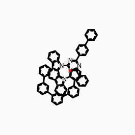 c1ccc(-c2ccc(-c3nc(-c4ccccc4)nc(-n4c5ccccc5c5ccc6c7ccccc7n(-c7ccccc7-c7cccc(-c8cccc(-c9cccc(-c%10ccccc%10)c9)c8)c7)c6c54)n3)cc2)cc1